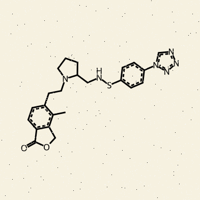 Cc1c(CCN2CCCC2CNSc2ccc(-n3cnnn3)cc2)ccc2c1COC2=O